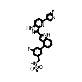 Cn1cc(-c2ccc3[nH]nc(-c4cc5c(-c6cc(F)cc(CNS(C)(=O)=O)c6)cccc5[nH]4)c3n2)cn1